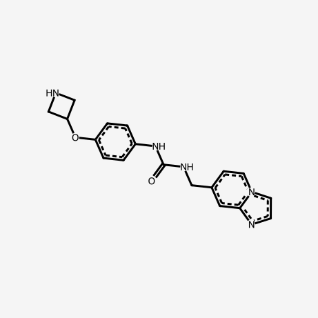 O=C(NCc1ccn2ccnc2c1)Nc1ccc(OC2CNC2)cc1